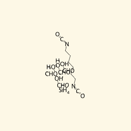 O=C=NCCCCCCN=C=O.O=CO.O=CO.O=CO.O=CO.[SiH4]